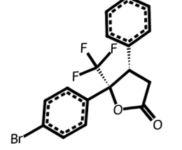 O=C1C[C@@H](c2ccccc2)[C@@](c2ccc(Br)cc2)(C(F)(F)F)O1